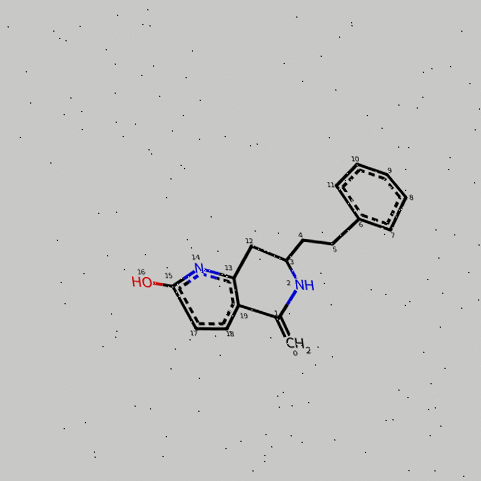 C=C1NC(CCc2ccccc2)Cc2nc(O)ccc21